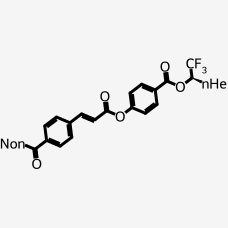 CCCCCCCCCC(=O)c1ccc(C=CC(=O)Oc2ccc(C(=O)O[C@H](CCCCCC)C(F)(F)F)cc2)cc1